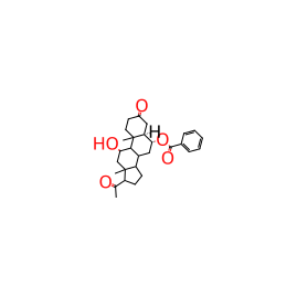 CC(=O)C1CCC2C3C[C@@H](OC(=O)c4ccccc4)[C@@H]4CC(=O)CCC4(C)C3[C@H](O)CC12C